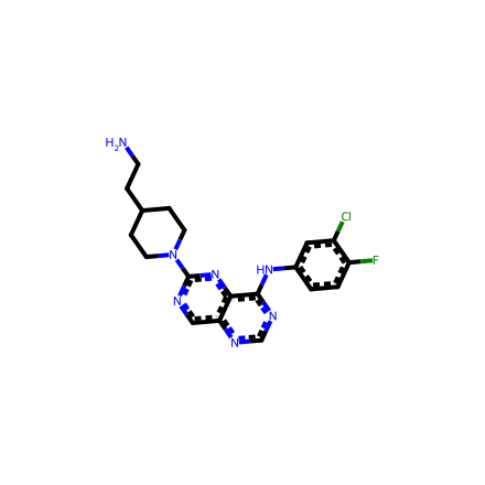 NCCC1CCN(c2ncc3ncnc(Nc4ccc(F)c(Cl)c4)c3n2)CC1